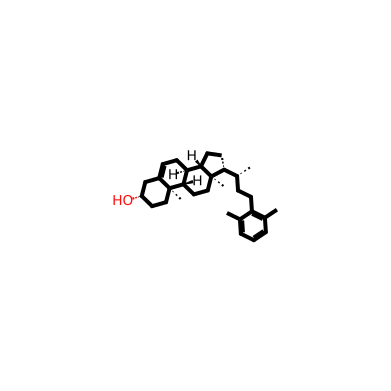 Cc1cccc(C)c1CC[C@@H](C)[C@H]1CC[C@H]2[C@@H]3CC=C4C[C@@H](O)CC[C@]4(C)[C@H]3CC[C@]12C